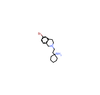 NC1(CCN2CCc3cc(Br)ccc3C2)CCCCC1